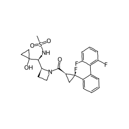 CS(=O)(=O)N[C@@H]([C@@H]1CCN1C(=O)[C@@H]1C[C@@]1(F)c1ccccc1-c1c(F)cccc1F)C1(O)CC1